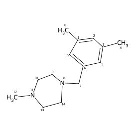 Cc1cc(C)cc(CN2CCN(C)CC2)c1